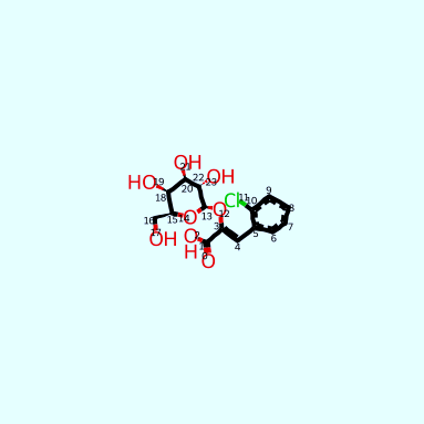 O=C(O)C(=Cc1ccccc1Cl)O[C@H]1O[C@@H](CO)[C@@H](O)[C@@H](O)[C@@H]1O